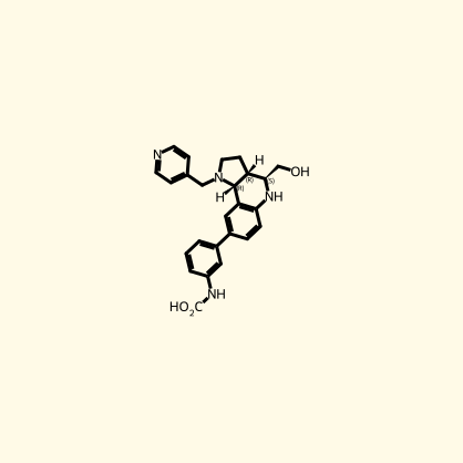 O=C(O)Nc1cccc(-c2ccc3c(c2)[C@H]2[C@H](CCN2Cc2ccncc2)[C@@H](CO)N3)c1